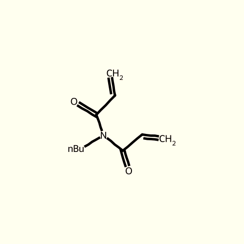 C=CC(=O)N(CCCC)C(=O)C=C